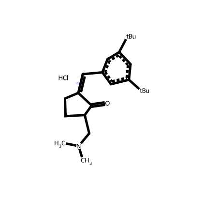 CN(C)CC1CC/C(=C/c2cc(C(C)(C)C)cc(C(C)(C)C)c2)C1=O.Cl